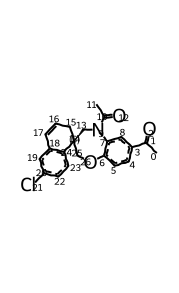 CC(=O)c1ccc2c(c1)N(C(C)=O)C[C@@]1(CC=Cc3cc(Cl)ccc31)CO2